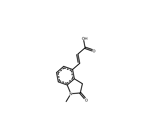 CN1C(=O)Cc2c(C=CC(=O)O)cccc21